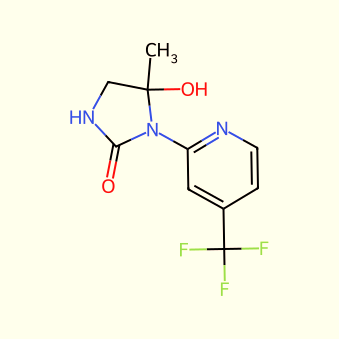 CC1(O)CNC(=O)N1c1cc(C(F)(F)F)ccn1